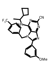 COc1cccc(-c2nc3nc(C#N)nc(NC(C)C4CCC4)c3n2Cc2ccc(C(F)(F)F)cc2)c1